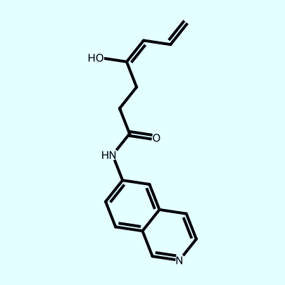 C=C/C=C(/O)CCC(=O)Nc1ccc2cnccc2c1